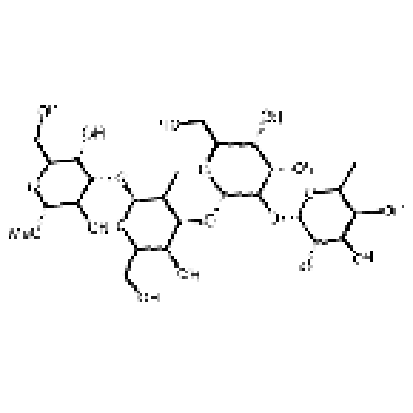 CO[C@@H]1OC(CO)[C@H](O)[C@H](O[C@@H]2OC(CO)[C@H](O)[C@H](O[C@@H]3OC(CO)[C@H](O)[C@H](O)C3O[C@@H]3OC(C)[C@@H](O)C(O)[C@@H]3O)C2C)C1O